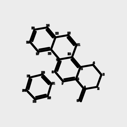 C=C1CCCc2c1ccc1c2ccc2ccccc21.c1ccccc1